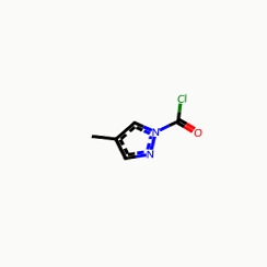 Cc1cnn(C(=O)Cl)c1